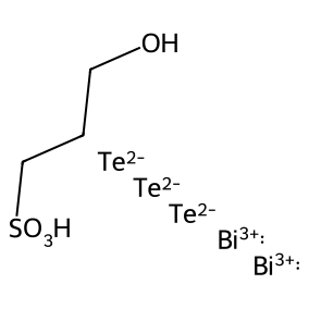 O=S(=O)(O)CCCO.[Bi+3].[Bi+3].[Te-2].[Te-2].[Te-2]